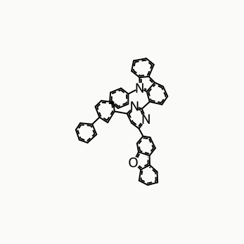 c1ccc(-c2cccc(-c3cc(-c4ccc5c(c4)oc4ccccc45)nc(-c4cccc5c6ccccc6n(-c6ccccc6)c45)n3)c2)cc1